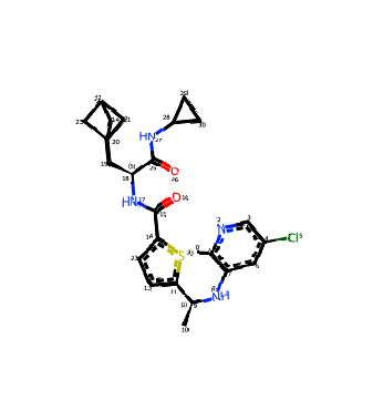 Cc1ncc(Cl)cc1N[C@@H](C)c1ccc(C(=O)N[C@@H](CC23CC(C2)C3)C(=O)NC2CC2)s1